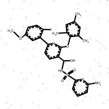 COc1ccc(F)c(-c2ccc(C(O)NS(=O)(=O)c3cccc(N)n3)c(Oc3c(C)cc(C)cc3C)n2)c1